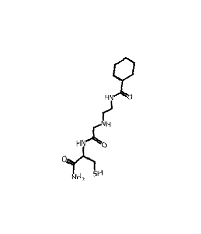 NC(=O)C(CS)NC(=O)CNCCNC(=O)C1CCCCC1